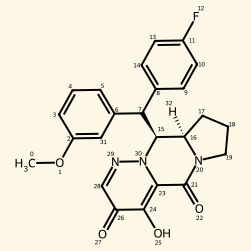 COc1cccc(C(c2ccc(F)cc2)[C@H]2[C@H]3CCCN3C(=O)c3c(O)c(=O)cnn32)c1